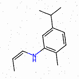 C/C=C\Nc1cc(C(C)C)ccc1C